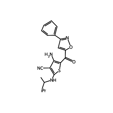 CC(C)C(C)Nc1sc(C(=O)c2cc(-c3ccccc3)no2)c(N)c1C#N